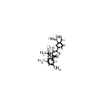 Cc1cc(C)cc(C(=O)N(NC(=O)c2ccc3c(c2)B(O)ON=C3)C(C)(C)C)c1